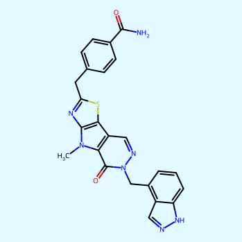 Cn1c2nc(Cc3ccc(C(N)=O)cc3)sc2c2cnn(Cc3cccc4[nH]ncc34)c(=O)c21